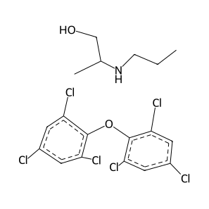 CCCNC(C)CO.Clc1cc(Cl)c(Oc2c(Cl)cc(Cl)cc2Cl)c(Cl)c1